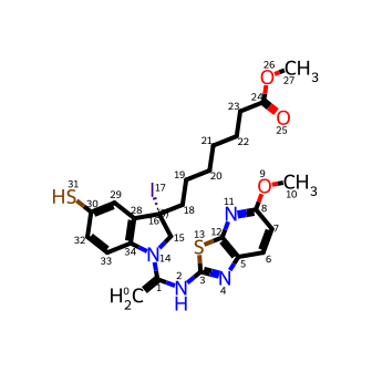 C=C(Nc1nc2ccc(OC)nc2s1)N1C[C@](I)(CCCCCCC(=O)OC)c2cc(S)ccc21